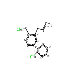 C=CCc1ccccc1CCl.Clc1ccccc1